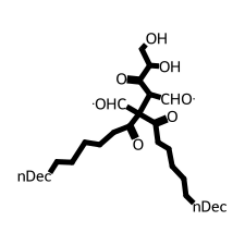 CCCCCCCCCCCCCCCC(=O)C([C]=O)(C(=O)CCCCCCCCCCCCCCC)C([C]=O)C(=O)C(O)CO